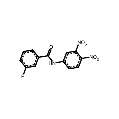 O=C(Nc1ccc([N+](=O)[O-])c([N+](=O)[O-])c1)c1cccc(F)c1